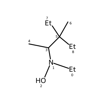 CCN(O)C(C)C(C)(CC)CC